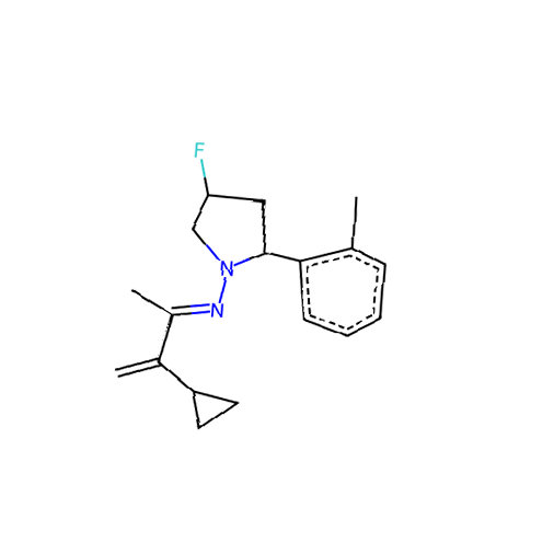 C=C(/C(C)=N/N1CC(F)CC1c1ccccc1C)C1CC1